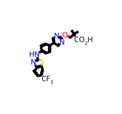 CC(C)(COc1ncc(-c2ccc(Nc3nc4ccc(C(F)(F)F)cc4s3)cc2)cn1)C(=O)O